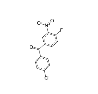 O=C(c1ccc(Cl)cc1)c1ccc(F)c([N+](=O)[O-])c1